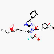 CCC(=O)CCCCC[C@H](NC(=O)Cc1ccc2occc2c1)c1ncc(-c2ccccc2)[nH]1.O=C(O)C(F)(F)F